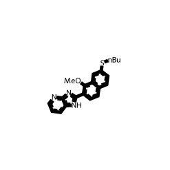 CCCCSc1ccc2ccc(-c3nc4ncccc4[nH]3)c(OC)c2c1